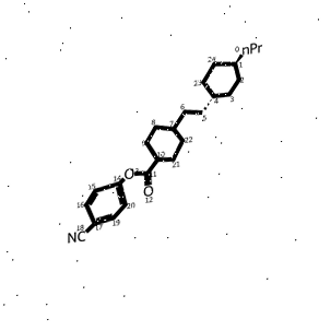 CCC[C@H]1CC[C@H](CCC2CCC(C(=O)Oc3ccc(C#N)cc3)CC2)CC1